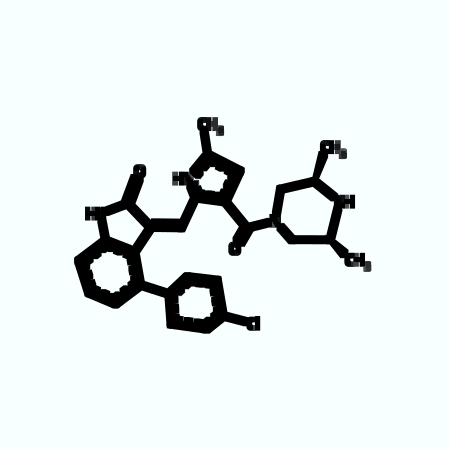 Cc1cc(C(=O)N2C[C@@H](C)N[C@@H](C)C2)c(/C=C2\C(=O)Nc3cccc(-c4ccc(Cl)cc4)c32)[nH]1